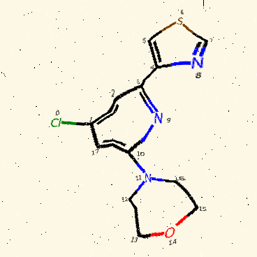 Clc1cc(-c2cscn2)nc(N2CCOCC2)c1